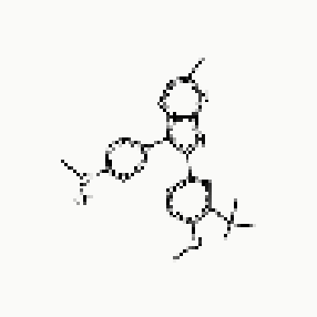 COc1ccc(-c2nc3nc(C)ccn3c2-c2ccc([S+](C)[O-])cc2)cc1C(C)(C)C